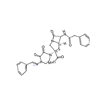 COC(=O)[C@@]1(N2CCN(/N=C/c3ccccc3)C(=O)C2=O)CN2C(=O)C(NC(=O)Cc3ccccc3)[C@H]2S1